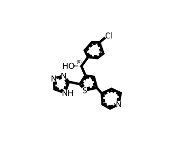 O[C@H](c1ccc(Cl)cc1)c1cc(-c2ccncc2)sc1-c1nnc[nH]1